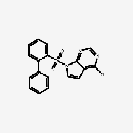 O=S(=O)(c1ccccc1-c1ccccc1)n1ccc2c(Cl)ncnc21